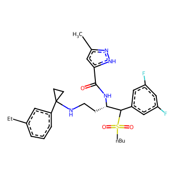 CCCCS(=O)(=O)C(c1cc(F)cc(F)c1)[C@H]([CH]CNC1(c2cccc(CC)c2)CC1)NC(=O)c1cc(C)n[nH]1